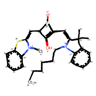 CCN1C(=CC2C(O)=C(C=C3N(CCCCCC(=O)O)c4ccccc4C3(C)C)[C+]2[O-])Sc2ccccc21